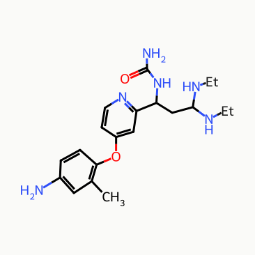 CCNC(CC(NC(N)=O)c1cc(Oc2ccc(N)cc2C)ccn1)NCC